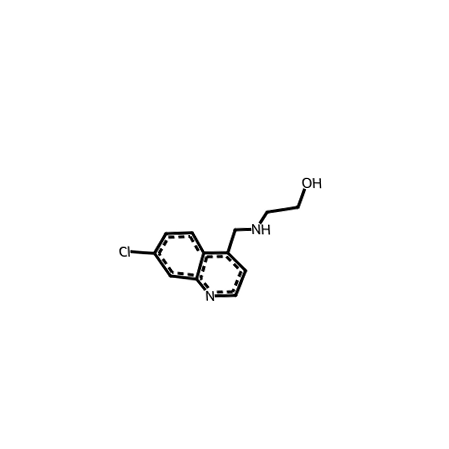 OCCNCc1ccnc2cc(Cl)ccc12